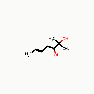 [CH2]C=CCC(O)C(C)(C)O